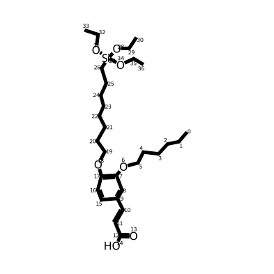 CCCCCCOc1cc(C=CC(=O)O)ccc1OCCCCCCCC[Si](OCC)(OCC)OCC